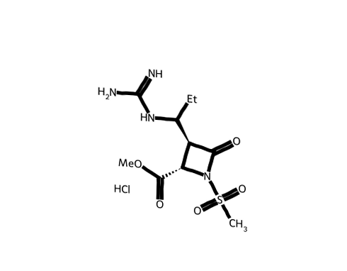 CCC(NC(=N)N)[C@H]1C(=O)N(S(C)(=O)=O)[C@@H]1C(=O)OC.Cl